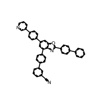 N#Cc1cccc(-c2ccc(-c3cc(-c4ccc(-c5cccnc5)cc4)cc4oc(-c5ccc(-c6ccccc6)cc5)nc34)cc2)c1